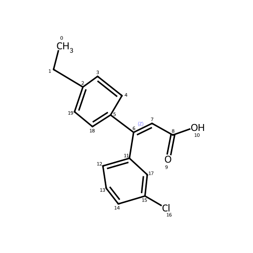 CCc1ccc(/C(=C/C(=O)O)c2cccc(Cl)c2)cc1